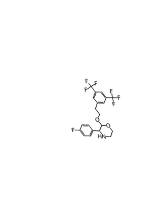 Fc1ccc(C2NCCOC2OCCc2cc(C(F)(F)F)cc(C(F)(F)F)c2)cc1